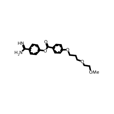 COCCOCCCOc1ccc(C(=O)Oc2ccc(C(=N)N)cc2)cc1